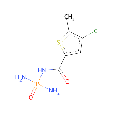 Cc1sc(C(=O)NP(N)(N)=O)cc1Cl